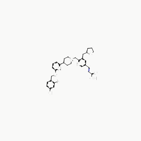 O=C(O)/C=C/c1cnc(CN2CCC(c3cccc(OCc4ccc(Cl)cc4F)n3)CC2)c(CC2CCCO2)c1